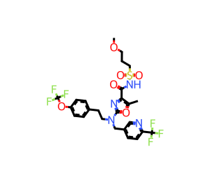 COCCCS(=O)(=O)NC(=O)c1nc(N(CCc2ccc(OC(F)(F)F)cc2)Cc2ccc(C(F)(F)F)nc2)oc1C